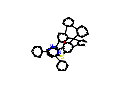 c1ccc(-c2cc(-c3ccccc3)nc(-c3ccc4c(c3)C3(c5ccccc5-c5ccccc5-4)c4ccccc4-c4cc5sc6ccccc6c5cc43)n2)cc1